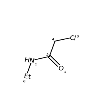 [CH2]CNC(=O)CCl